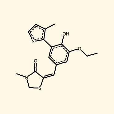 CCOc1cc(C=C2SCN(C)C2=O)cc(-c2sccc2C)c1O